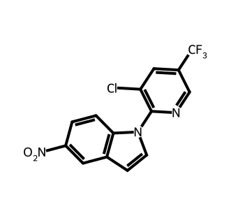 O=[N+]([O-])c1ccc2c(ccn2-c2ncc(C(F)(F)F)cc2Cl)c1